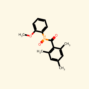 COc1ccccc1[PH](=O)C(=O)c1c(C)cc(C)cc1C